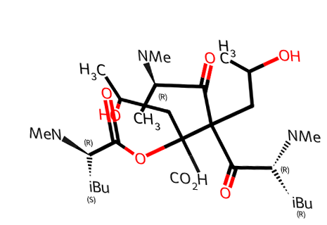 CC[C@@H](C)[C@@H](NC)C(=O)C(CC(C)O)(C(=O)[C@@H](C)NC)C(CC(C)O)(OC(=O)[C@H](NC)[C@@H](C)CC)C(=O)O